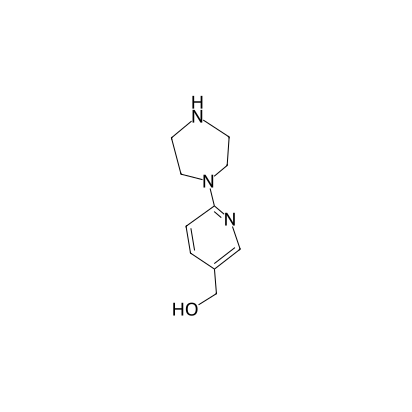 OCc1ccc(N2CCNCC2)nc1